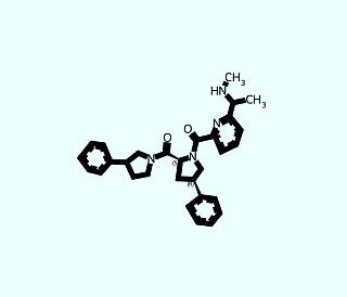 CNC(C)c1cccc(C(=O)N2C[C@@H](c3ccccc3)C[C@H]2C(=O)N2CCC(c3ccccc3)C2)n1